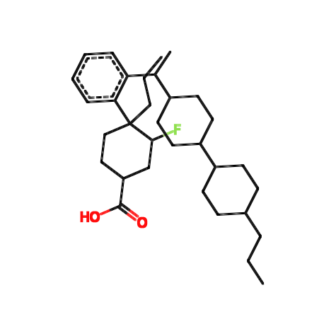 CCCC1CCC(C2CCC(C(C)c3ccccc3C3(CCC)CCC(C(=O)O)CC3F)CC2)CC1